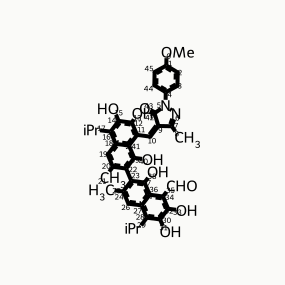 COc1ccc(N2N=C(C)/C(=C/c3c(O)c(O)c(C(C)C)c4cc(C)c(-c5c(C)cc6c(C(C)C)c(O)c(O)c(C=O)c6c5O)c(O)c34)C2=O)cc1